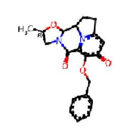 C[C@@H]1CN2C(=O)c3c(OCc4ccccc4)c(=O)cc4n3C(CC4)C2O1